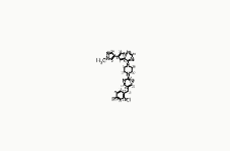 Cn1cc(-c2cc3c(N4CCN(c5ncc(Cc6ccc(F)cc6Cl)cn5)CC4)ncnn3c2)cn1